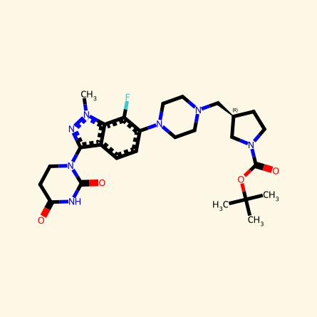 Cn1nc(N2CCC(=O)NC2=O)c2ccc(N3CCN(C[C@H]4CCN(C(=O)OC(C)(C)C)C4)CC3)c(F)c21